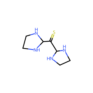 S=C(C1NCCN1)C1NCCN1